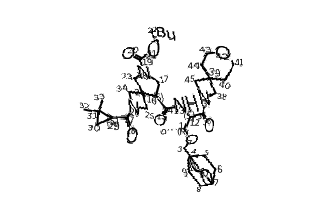 C[C@@H](OCC12CCC(CC1)OC2)[C@H](NC(=O)[C@@H]1CN(C(=O)OC(C)(C)C)CC12CN(C(=O)[C@H]1CC1(C)C)C2)C(=O)N1CC2(CCOCC2)C1